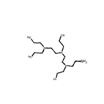 N#CCCN(CCN)CCN(CCC#N)CCN(CCC#N)CCC#N